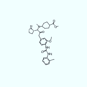 COC(=O)C1CCC(N(C)C(C(=O)Cc2ccc(NC(=O)Nc3ccccc3C)c(OC)c2)C2CCCN2)CC1